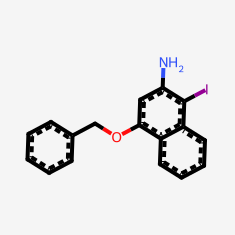 Nc1cc(OCc2ccccc2)c2ccccc2c1I